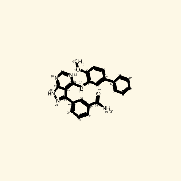 COc1ccc(-c2ccccc2)cc1Nc1ncnc2[nH]nc(-c3cccc(C(N)=O)c3)c12